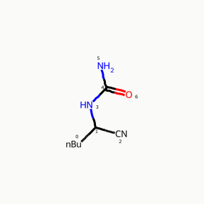 CCCCC(C#N)NC(N)=O